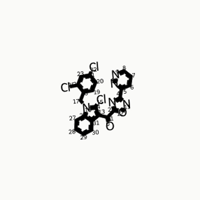 O=C(c1nc(-c2cccnn2)no1)c1c(Cl)n(Cc2ccc(Cl)cc2Cl)c2ccccc12